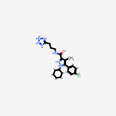 Cc1c(C(=O)NCCCc2nn[nH]n2)nn(C2CCCCC2)c1-c1ccc(Cl)cc1